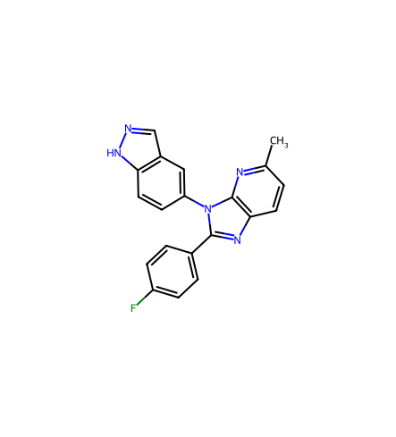 Cc1ccc2nc(-c3ccc(F)cc3)n(-c3ccc4[nH]ncc4c3)c2n1